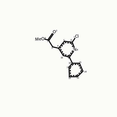 COC(=O)Cc1cc(Cl)nc(-c2ccccc2)c1